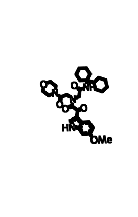 COc1ccc2c(C(=O)C(=O)N(CC(=O)NC3(C4CCCCC4)CCCCC3)CC(=O)N3CCOCC3)c[nH]c2c1